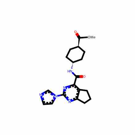 COC(=O)[C@H]1CC[C@H](NC(=O)c2nc(-n3ccnc3)nc3c2CCC3)CC1